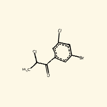 CC(Cl)C(=O)c1cc(Cl)cc(Br)c1